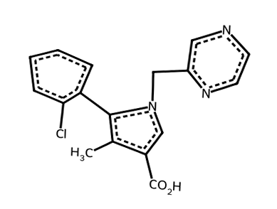 Cc1c(C(=O)O)cn(Cc2cnccn2)c1-c1ccccc1Cl